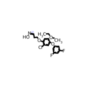 CCOCC.O/N=C\CCOc1ccc(Oc2cc(F)cc(F)c2)cc1Cl